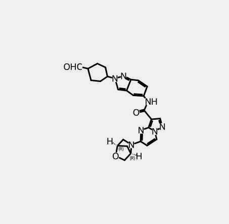 O=CC1CCC(n2cc3cc(NC(=O)c4cnn5ccc(N6C[C@H]7C[C@@H]6CO7)nc45)ccc3n2)CC1